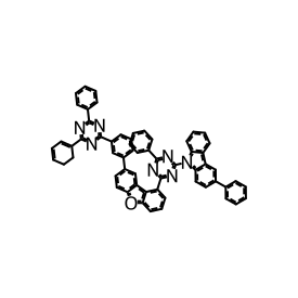 C1=CCCC(c2nc(-c3ccccc3)nc(-c3cccc(-c4ccc5oc6cccc(-c7nc(-c8ccccc8)nc(-n8c9ccccc9c9cc(-c%10ccccc%10)ccc98)n7)c6c5c4)c3)n2)=C1